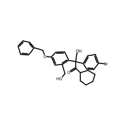 O=C(C1CCCCC1)C(O)(c1ccc(Br)cc1)c1ccc(OCc2ccccc2)cc1CO